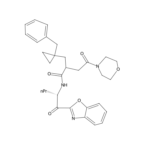 CCC[C@H](NC(=O)C(CC(=O)N1CCOCC1)CC1(Cc2ccccc2)CC1)C(=O)c1nc2ccccc2o1